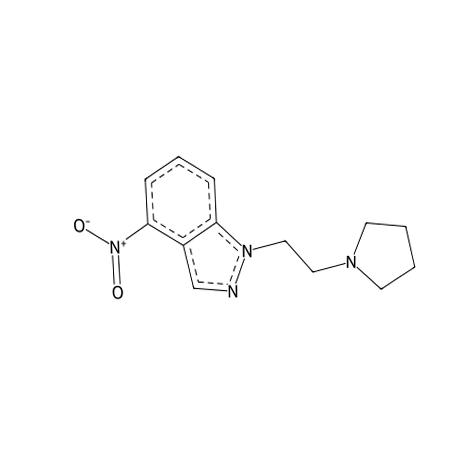 O=[N+]([O-])c1cccc2c1cnn2CCN1CCCC1